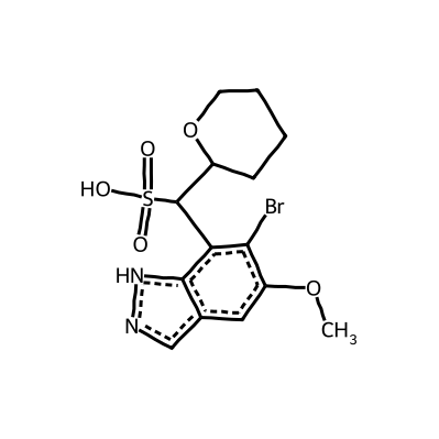 COc1cc2cn[nH]c2c(C(C2CCCCO2)S(=O)(=O)O)c1Br